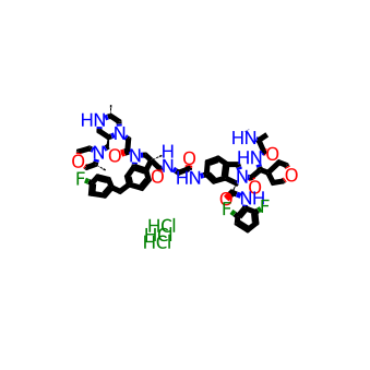 CNC(C)C(=O)NC(C(=O)N1Cc2ccc(NC(=O)CNC(=O)[C@]3(C)CN(C(=O)CN4C[C@@H](C)NC[C@@H]4CN4CCOC[C@H]4C)c4cc(Cc5ccc(F)cc5)ccc43)cc2[C@H]1C(=O)Nc1c(F)cccc1F)C1CCOCC1.Cl.Cl.Cl